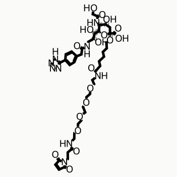 O=C(CCCCCCO[C@]1(C(=O)O)C[C@H](O)[C@@H](NC(=O)CO)[C@H]([C@H](O)[C@H](O)CNC(=O)Cc2ccc(-c3nnn[nH]3)cc2)O1)NCCOCCOCCOCCOCCNC(=O)CCN1C(=O)C=CC1=O